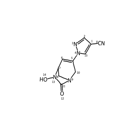 N#Cc1cnn(C2=CC3CN(C2)C(=O)N3O)c1